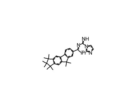 CC(C)/C(=N\C(=N)n1ccnc1)c1ccc2c(c1)C(C)(C)c1cc3c(cc1-2)C(C)(C)C(C)(C)C3(C)C